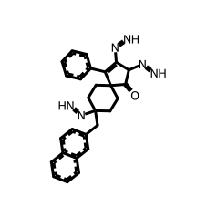 N=NC1=C(c2ccccc2)C2(CCC(Cc3ccc4ccccc4c3)(N=N)CC2)C(=O)C1N=N